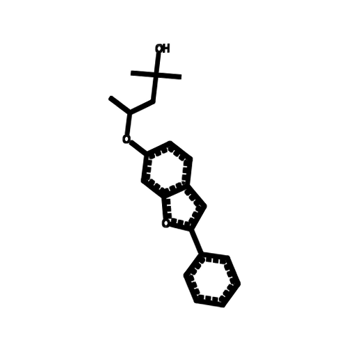 CC(CC(C)(C)O)Oc1ccc2cc(-c3ccccc3)oc2c1